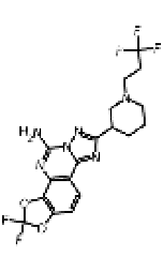 Nc1nc2c3c(ccc2c2nc(C4CCCN(CCC(F)(F)F)C4)nn12)OC(F)(F)O3